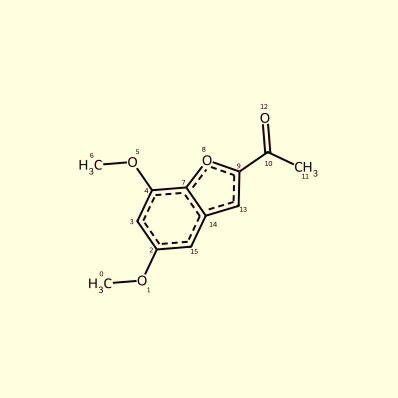 COc1cc(OC)c2oc(C(C)=O)cc2c1